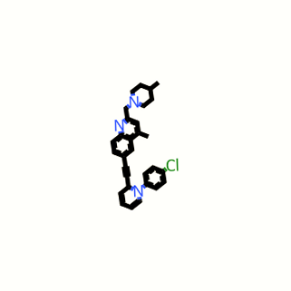 Cc1cc(CN2CCC(C)CC2)nc2ccc(C#CC3C=CC=CN3c3ccc(Cl)cc3)cc12